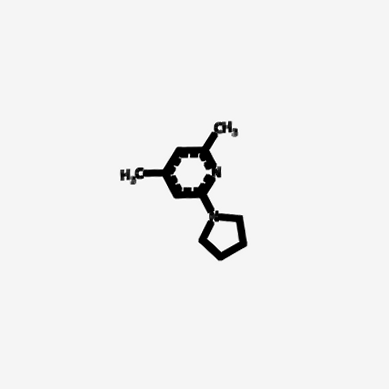 Cc1cc(C)nc(N2CCCC2)c1